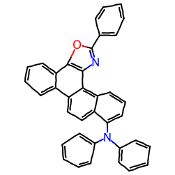 c1ccc(-c2nc3c(o2)c2ccccc2c2ccc4c(N(c5ccccc5)c5ccccc5)cccc4c23)cc1